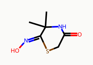 CC1(C)NC(=O)CSC1=NO